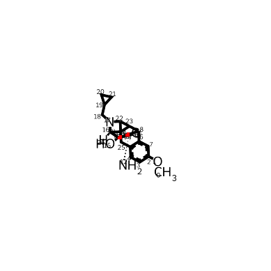 COc1ccc2c(c1)[C@@]13CC[C@H](N)C[C@@]1(O)[C@@H]1N(CC4CC4)C4C3C41C2